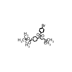 CN(C)CCN(C1CCN(C(=O)OC(C)(C)C)CC1)S(=O)(=O)c1ccc(Br)cc1